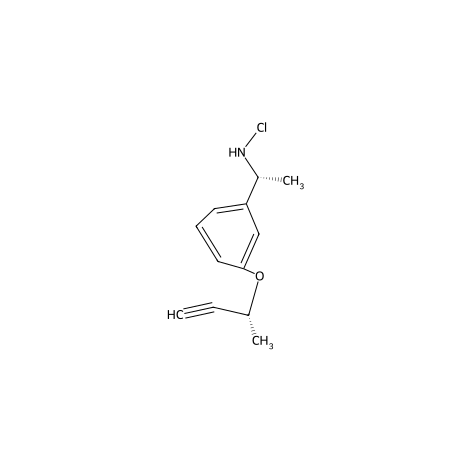 C#C[C@@H](C)Oc1cccc([C@@H](C)NCl)c1